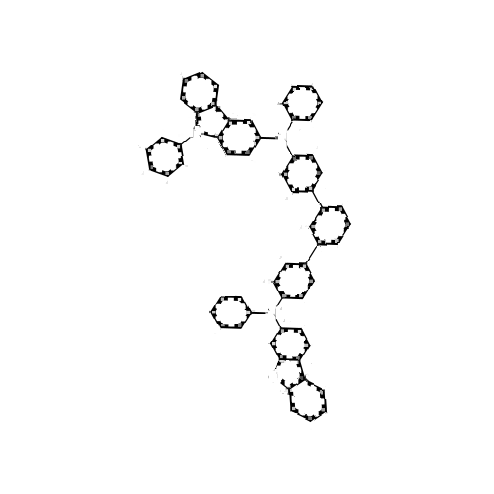 c1ccc(N(c2ccc(-c3cccc(-c4ccc(N(c5ccccc5)c5ccc6c(c5)c5ccccc5n6-c5ccccc5)cc4)c3)cc2)c2ccc3c(c2)oc2ccccc23)cc1